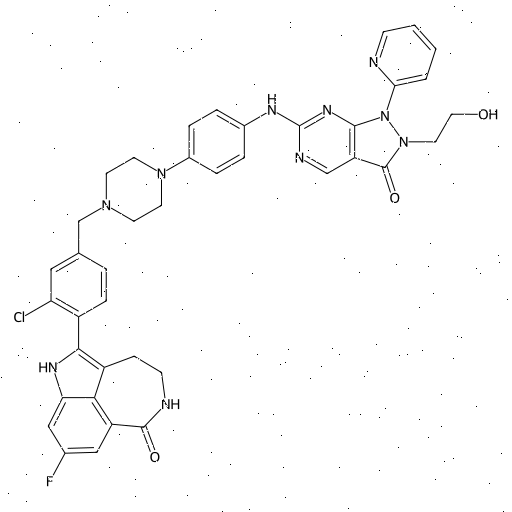 O=C1NCCc2c(-c3ccc(CN4CCN(c5ccc(Nc6ncc7c(=O)n(CCO)n(-c8ccccn8)c7n6)cc5)CC4)cc3Cl)[nH]c3cc(F)cc1c23